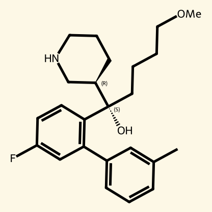 COCCCC[C@@](O)(c1ccc(F)cc1-c1cccc(C)c1)[C@@H]1CCCNC1